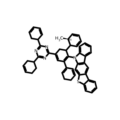 C[C@H]1C=CC=CC1C1CC(c2nc(C3C=CC=CC3)nc(C3CC=CCC3)n2)=CC(C2=CCCC=C2)=C1n1c2ccccc2c2cc3c(cc21)sc1ccccc13